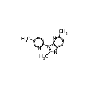 Cc1ccc(-n2c(C)nc3ccc(C)nc32)nc1